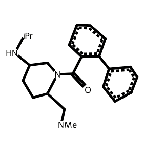 CNCC1CCC(NC(C)C)CN1C(=O)c1ccccc1-c1ccccc1